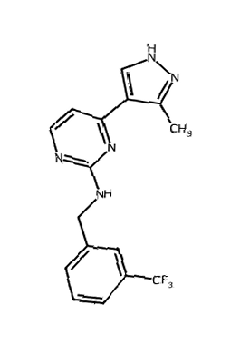 Cc1n[nH]cc1-c1ccnc(NCc2cccc(C(F)(F)F)c2)n1